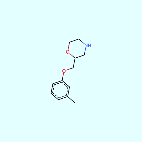 Cc1cccc(OCC2CNCCO2)c1